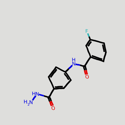 NNC(=O)c1ccc(NC(=O)c2cccc(F)c2)cc1